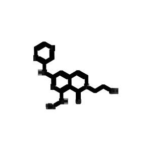 CC(C)(C)Nc1nc(Nc2cnccn2)cc2ccn(CCO)c(=O)c12